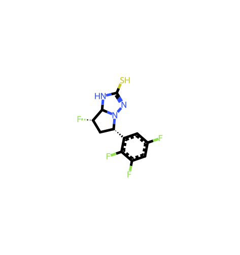 Fc1cc(F)c(F)c([C@@H]2C[C@H](F)C3NC(S)=NN32)c1